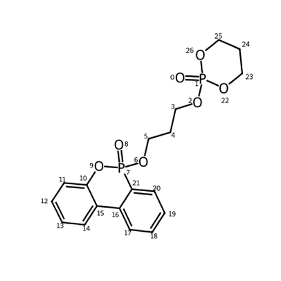 O=P1(OCCCOP2(=O)Oc3ccccc3-c3ccccc32)OCCCO1